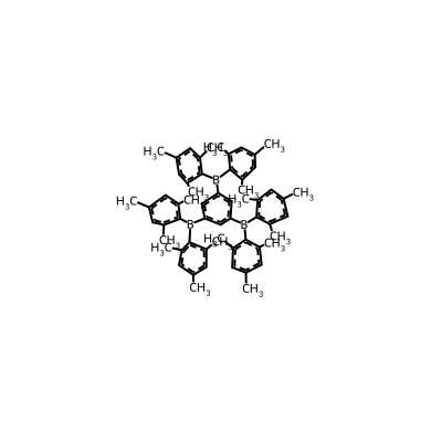 Cc1cc(C)c(B(c2cc(B(c3c(C)cc(C)cc3C)c3c(C)cc(C)cc3C)cc(B(c3c(C)cc(C)cc3C)c3c(C)cc(C)cc3C)c2)c2c(C)cc(C)cc2C)c(C)c1